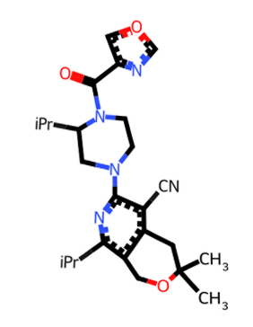 CC(C)c1nc(N2CCN(C(=O)c3cocn3)C(C(C)C)C2)c(C#N)c2c1COC(C)(C)C2